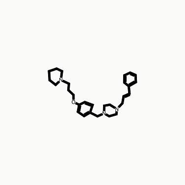 C(=Cc1ccccc1)CN1CCN(Cc2ccc(OCCCN3CCCCC3)cc2)CC1